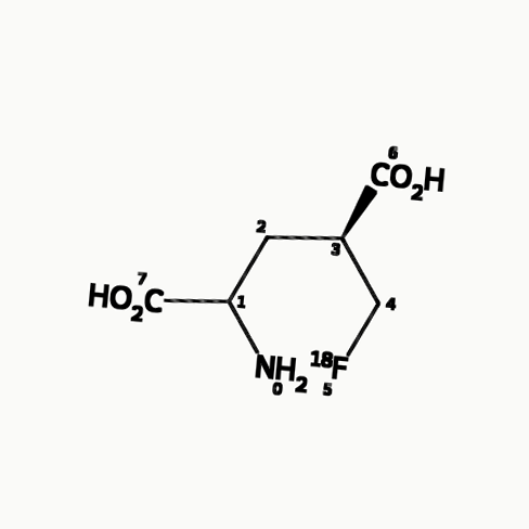 NC(C[C@H](C[18F])C(=O)O)C(=O)O